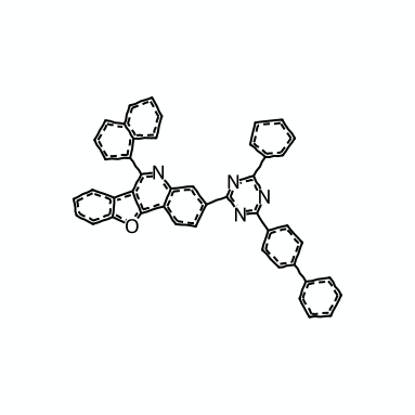 c1ccc(-c2ccc(-c3nc(-c4ccccc4)nc(-c4ccc5c(c4)nc(-c4cccc6ccccc46)c4c6ccccc6oc54)n3)cc2)cc1